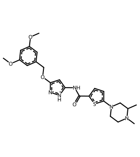 COc1cc(COc2cc(NC(=O)c3ccc(N4CCN(C)C(C)C4)s3)[nH]n2)cc(OC)c1